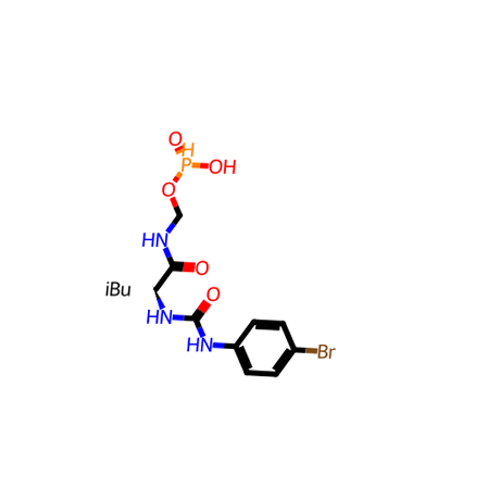 CC[C@H](C)[C@H](NC(=O)Nc1ccc(Br)cc1)C(=O)NCO[PH](=O)O